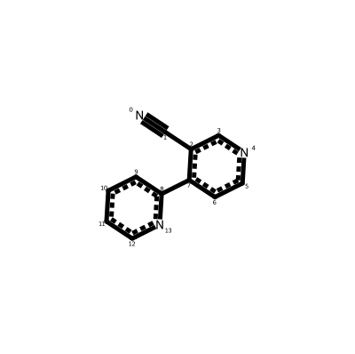 N#Cc1cnccc1-c1ccc[c]n1